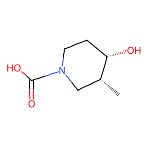 C[C@@H]1CN(C(=O)O)CC[C@@H]1O